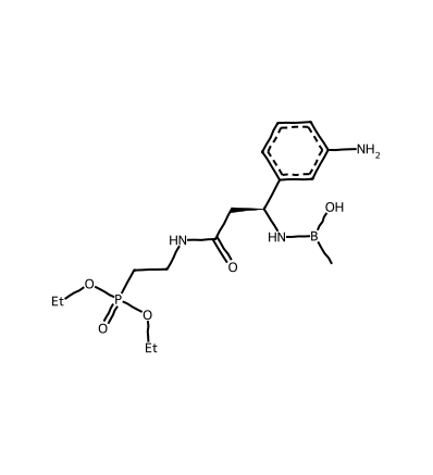 CCOP(=O)(CCNC(=O)C[C@H](NB(C)O)c1cccc(N)c1)OCC